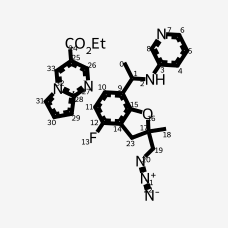 CC(Nc1cccnc1)c1ccc(F)c2c1OC(C)(CN=[N+]=[N-])C2.CCOC(=O)c1cnc2cccn2c1